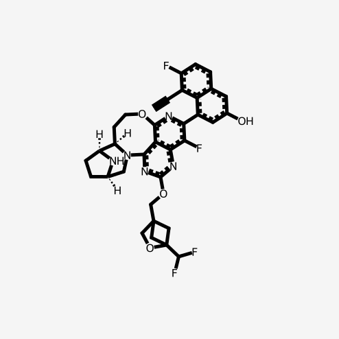 C#Cc1c(F)ccc2cc(O)cc(-c3nc4c5c(nc(OCC67COC(C(F)F)(C6)C7)nc5c3F)N3C[C@H]5CC[C@H](N5)[C@H]3CCO4)c12